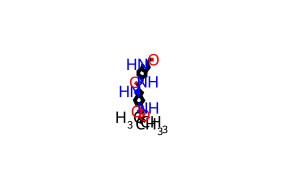 CC(C)(C)OC(=O)Nc1ccc2[nH]c(C(=O)Nc3ccc4[nH]c(C=O)cc4c3)cc2c1